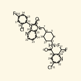 O=C(NC1CCC(Cn2c(=O)n(-c3ccc(F)cc3Cl)c3ncccc32)CC1)c1cc(Cl)cnc1C(F)F